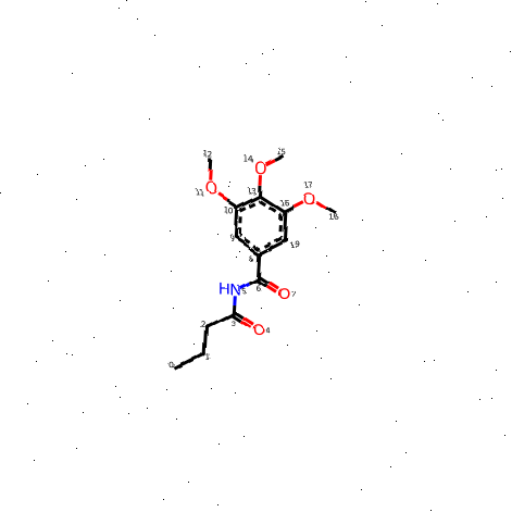 CCCC(=O)NC(=O)c1cc(OC)c(OC)c(OC)c1